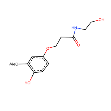 COc1cc(OCCC(=O)NCCO)ccc1O